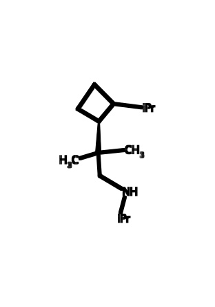 CC(C)NCC(C)(C)[C@H]1CCC1C(C)C